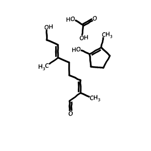 CC(C=O)=CCC/C(C)=C/CO.CC1=C(O)CCC1.O=C(O)O